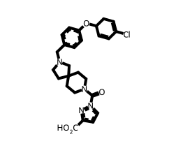 O=C(O)c1ccn(C(=O)N2CCC3(CCN(Cc4ccc(OC5C=CC(Cl)=CC5)cc4)C3)CC2)n1